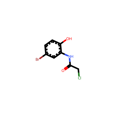 O=C(CCl)Nc1cc(Br)ccc1O